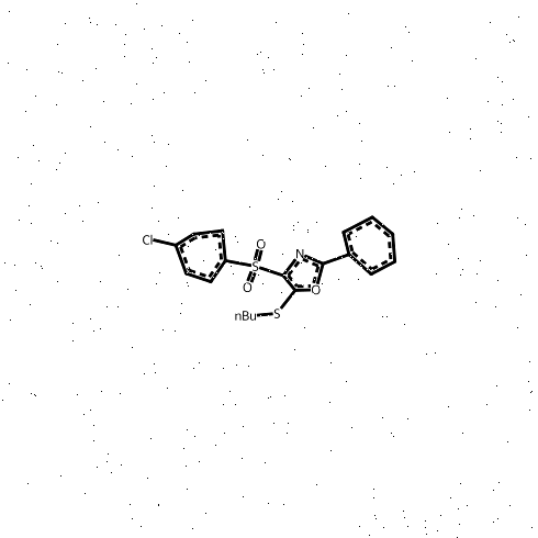 CCCCSc1oc(-c2ccccc2)nc1S(=O)(=O)c1ccc(Cl)cc1